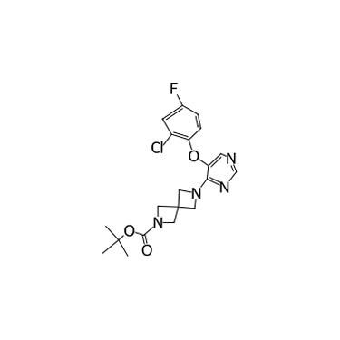 CC(C)(C)OC(=O)N1CC2(C1)CN(c1ncncc1Oc1ccc(F)cc1Cl)C2